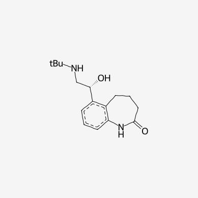 CC(C)(C)NC[C@H](O)c1cccc2c1CCCC(=O)N2